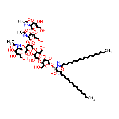 CCCCCCCCCCCCC/C=C/[C@@H](O)[C@H](CO[C@@H]1OC(CO)[C@@H](O[C@@H]2OC(CO)[C@H](O[C@@H]3OC(CO)[C@H](O[C@@H]4OC(CO)[C@H](O)[C@H](O)C4NC(C)=O)[C@H](O[C@@H]4OC(CO)[C@H](O)[C@H](O[C@H]5OC(CO)[C@H](O)[C@H](O)C5NC(C)=O)C4NC(C)=O)C3O)[C@H](O)C2O)[C@H](O)C1O)NC(=O)CCCCCCCCCCCCCCCCC